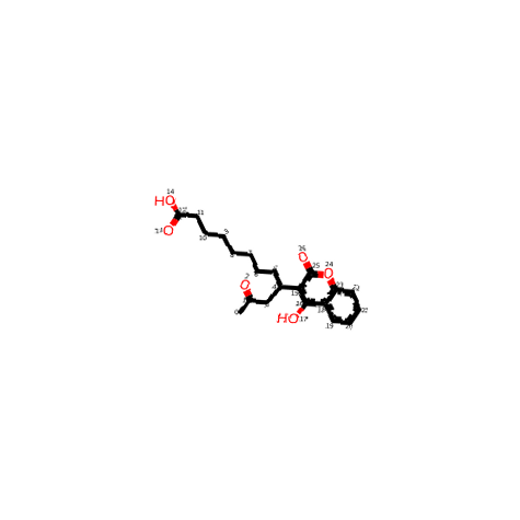 CC(=O)CC(CCCCCCCC(=O)O)c1c(O)c2ccccc2oc1=O